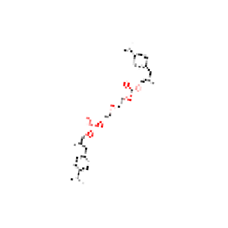 CC(=COC(=O)OCCOCCOC(=O)OC=C(C)Cc1ccc(C(C)C)cc1)Cc1ccc(C(C)C)cc1